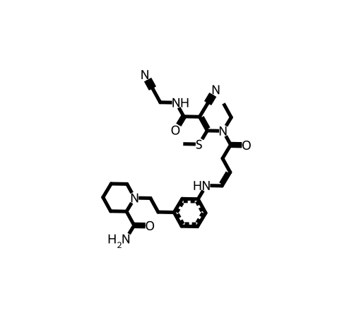 CCN(C(=O)C/C=C\Nc1cccc(CCN2CCCCC2C(N)=O)c1)/C(SC)=C(\C#N)C(=O)NCC#N